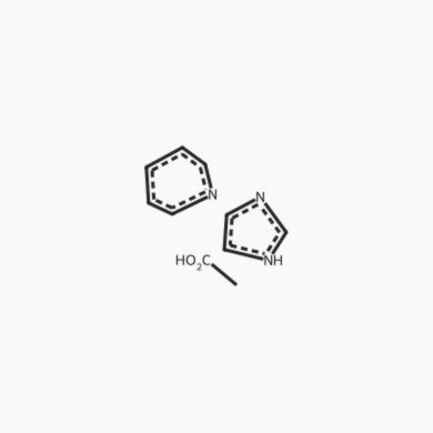 CC(=O)O.c1c[nH]cn1.c1ccncc1